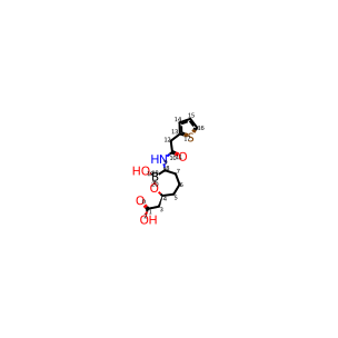 O=C(O)C[C@@H]1CCC[C@H](NC(=O)Cc2cccs2)B(O)O1